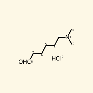 CN(C)CCCCCC=O.Cl